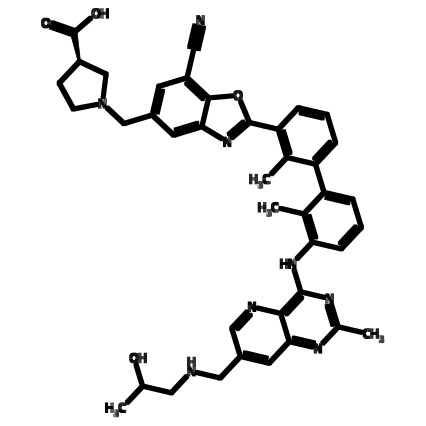 Cc1nc(Nc2cccc(-c3cccc(-c4nc5cc(CN6CC[C@@H](C(=O)O)C6)cc(C#N)c5o4)c3C)c2C)c2ncc(CNCC(C)O)cc2n1